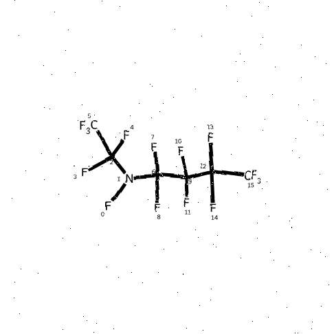 FN(C(F)(F)C(F)(F)F)C(F)(F)C(F)(F)C(F)(F)C(F)(F)F